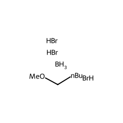 B.Br.Br.Br.CCCCCOC